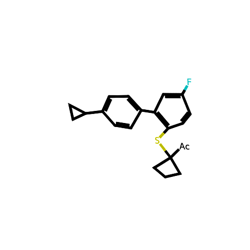 CC(=O)C1(Sc2ccc(F)cc2-c2ccc(C3CC3)cc2)CCC1